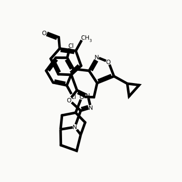 Cc1cc(-c2nnc(N3C4CCC3CC(OCc3c(-c5c(Cl)cccc5Cl)noc3C3CC3)C4)o2)ccc1C=O